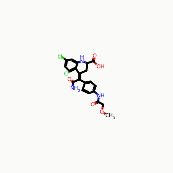 COCC(=O)Nc1ccc(/C(C(N)=O)=C2\CC(C(=O)O)Nc3cc(Cl)cc(Cl)c32)cc1